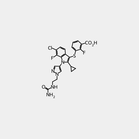 NC(=O)NCCn1cc(-n2c(C3CC3)c(Sc3cccc(C(=O)O)c3F)c3ccc(Cl)c(F)c32)cn1